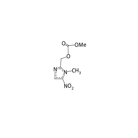 COC(=O)OCc1ncc([N+](=O)[O-])n1C